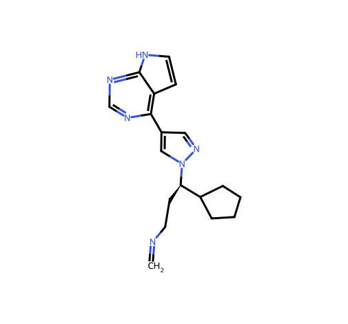 C=NCC[C@H](C1CCCC1)n1cc(-c2ncnc3[nH]ccc23)cn1